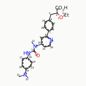 CCOC(Cc1ccc(-c2cc(N(C)C(=O)Nc3ccc(N(C)C)cc3)ccn2)cc1)C(=O)O